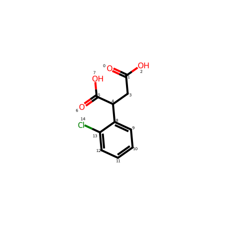 O=C(O)CC(C(=O)O)c1ccccc1Cl